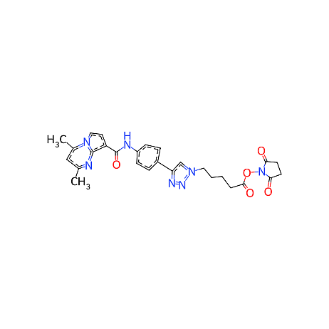 Cc1cc(C)n2ccc(C(=O)Nc3ccc(-c4cn(CCCCC(=O)ON5C(=O)CCC5=O)nn4)cc3)c2n1